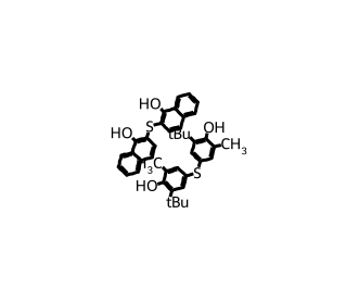 Cc1cc(Sc2cc(C)c(O)c(C(C)(C)C)c2)cc(C(C)(C)C)c1O.Oc1c(Sc2ccc3ccccc3c2O)ccc2ccccc12